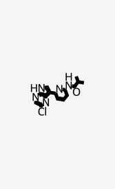 CC(C)C(=O)NC1CC=CC(c2c[nH]c3ncc(Cl)nc23)=N1